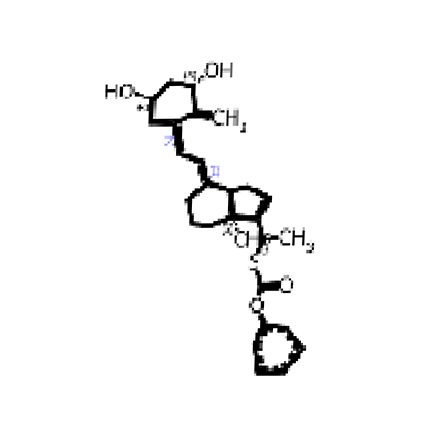 C=C1/C(=C\C=C2/CCC[C@]3(C)C([C@@H](C)SC(=O)Oc4ccccc4)=CCC23)C[C@@H](O)C[C@@H]1O